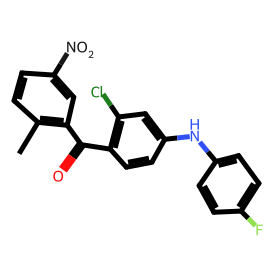 Cc1ccc([N+](=O)[O-])cc1C(=O)c1ccc(Nc2ccc(F)cc2)cc1Cl